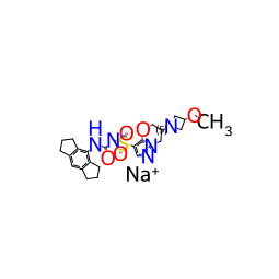 COC1CN([C@@H]2COc3c(S(=O)(=O)[N-]C(=O)Nc4c5c(cc6c4CCC6)CCC5)cnn3C2)C1.[Na+]